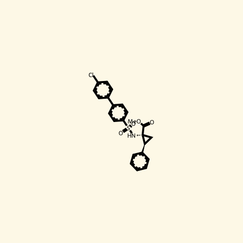 COC(=O)[C@@]1(NS(=O)(=O)c2ccc(-c3ccc(Cl)cc3)cc2)C[C@H]1c1ccccc1